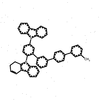 Cc1cccc(-c2ccc(-c3cccc(-c4cc(-n5c6ccccc6c6ccccc65)ccc4-n4c5c(c6ccccc64)C=CCC5)c3)cc2)c1